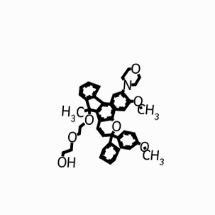 COc1ccc(C2(c3ccccc3)C=Cc3c4c(c5cc(N6CCOCC6)c(OC)cc5c3O2)-c2ccccc2C4(C)OCCOCCO)cc1